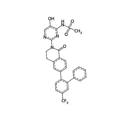 CS(=O)(=O)Nc1nc(N2CCc3cc(-c4ccc(C(F)(F)F)cc4-c4ccccc4)ccc3C2=O)ncc1O